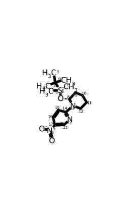 CC(C)(C)[Si](C)(C)O[C@@H]1CCCCN1c1ccc([N+](=O)[O-])cn1